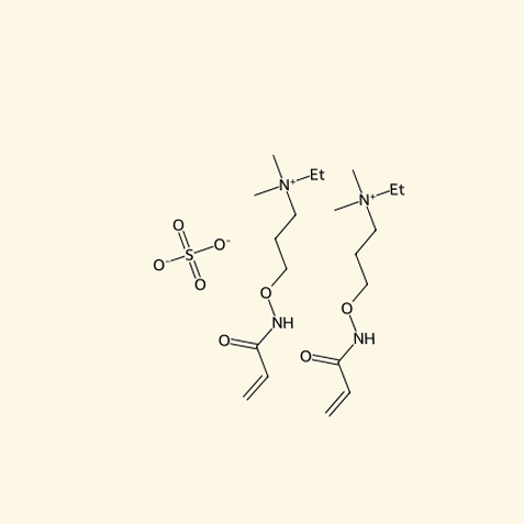 C=CC(=O)NOCCC[N+](C)(C)CC.C=CC(=O)NOCCC[N+](C)(C)CC.O=S(=O)([O-])[O-]